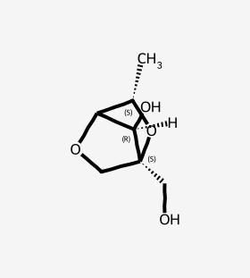 C[C@@H]1O[C@@]2(CO)COC1[C@H]2O